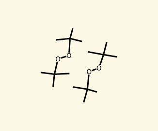 CC(C)(C)OOC(C)(C)C.CC(C)(C)OOC(C)(C)C